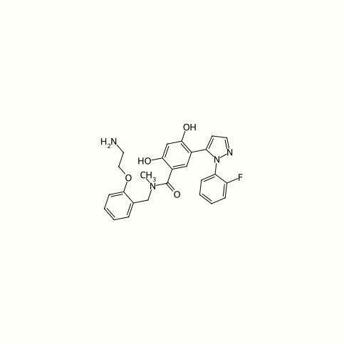 CN(Cc1ccccc1OCCN)C(=O)c1cc(-c2ccnn2-c2ccccc2F)c(O)cc1O